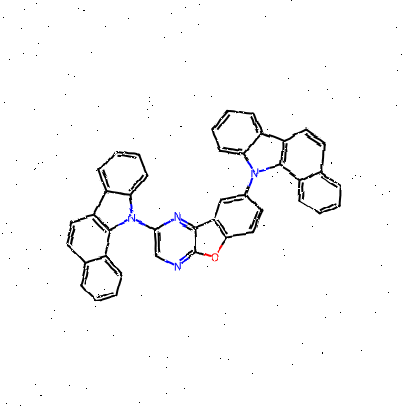 c1ccc2c(c1)ccc1c3ccccc3n(-c3ccc4oc5ncc(-n6c7ccccc7c7ccc8ccccc8c76)nc5c4c3)c21